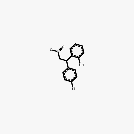 O=[N+]([O-])CC(c1ccc(Cl)cc1)c1ccccc1O